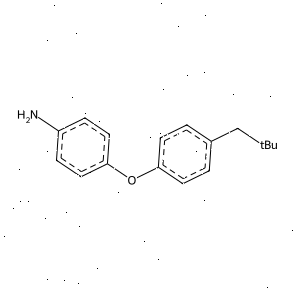 CC(C)(C)Cc1ccc(Oc2ccc(N)cc2)cc1